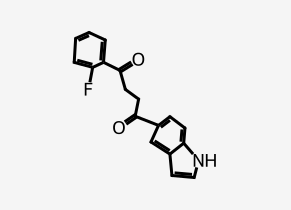 O=C(CCC(=O)c1ccccc1F)c1ccc2[nH]ccc2c1